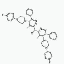 Cc1c(C(=O)c2nnc(-c3ccccc3)c(N3CCN(c4ccc(F)cc4)CC3)c2C)nnc(-c2ccccc2)c1N1CCN(c2ccc(F)cc2)CC1